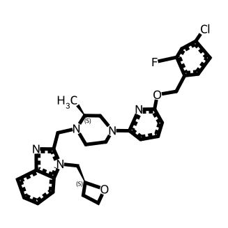 C[C@H]1CN(c2cccc(OCc3ccc(Cl)cc3F)n2)CCN1Cc1nc2ccccc2n1C[C@@H]1CCO1